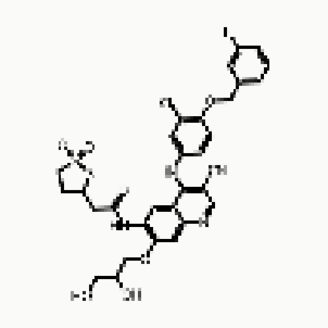 N#Cc1cnc2cc(OCC(O)CO)c(NC(=O)CC3CCS(=O)(=O)S3)cc2c1Nc1ccc(OCc2cccc(F)c2)c(Cl)c1